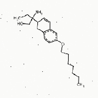 CCCCCCCOc1ccc2c(c1)C=CC(C(N)(CC)CO)C2